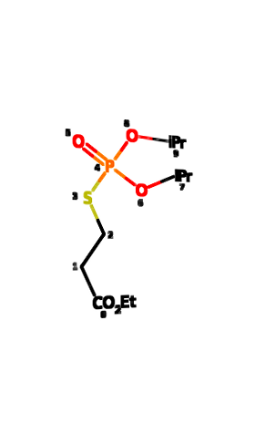 CCOC(=O)CCSP(=O)(OC(C)C)OC(C)C